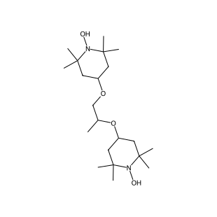 CC(COC1CC(C)(C)N(O)C(C)(C)C1)OC1CC(C)(C)N(O)C(C)(C)C1